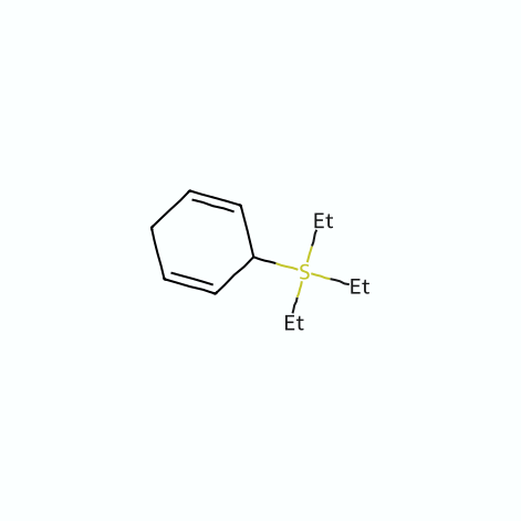 CCS(CC)(CC)C1C=CCC=C1